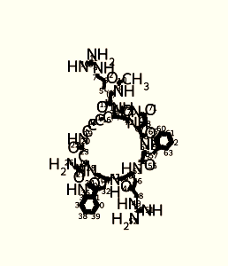 CC(=O)N[C@@H](CCCNC(=N)N)C(=O)N[C@H]1CCCCNC(=O)C[C@@H](C(N)=O)NC(=O)[C@H](Cc2c[nH]c3ccccc23)NC(=O)[C@H](CCCNC(=N)N)NC(=O)[C@@H](Cc2ccccc2)NC(=O)C(CC(N)=O)NC1=O